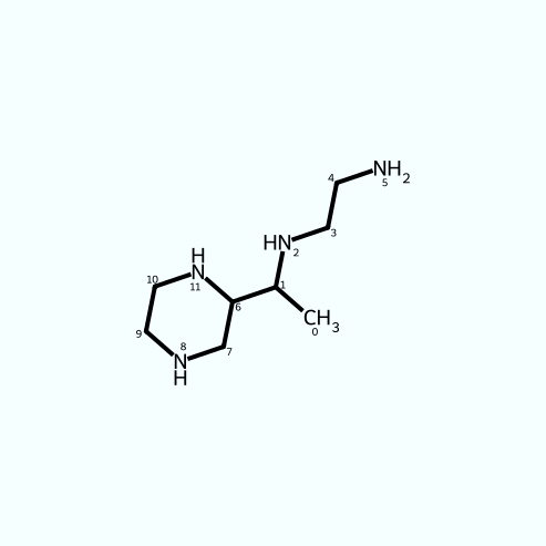 CC(NCCN)C1CNCCN1